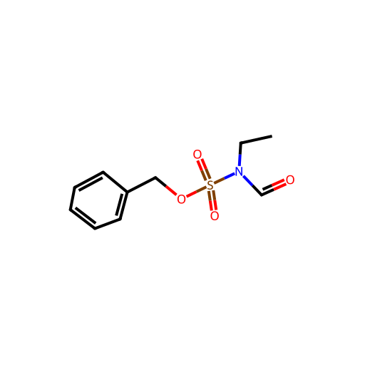 CCN(C=O)S(=O)(=O)OCc1ccccc1